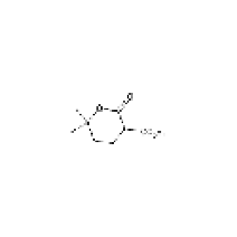 CCOC(=O)C1CCC(C)(C)OC1=O